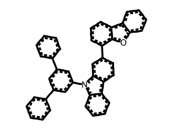 c1ccc(-c2cc(-c3ccccc3)cc(-n3c4ccccc4c4ccc(-c5cccc6c5oc5ccccc56)cc43)c2)cc1